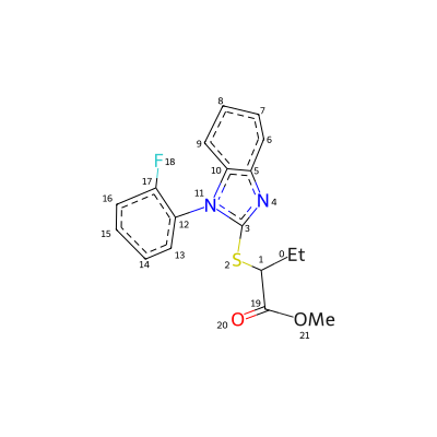 CCC(Sc1nc2ccccc2n1-c1ccccc1F)C(=O)OC